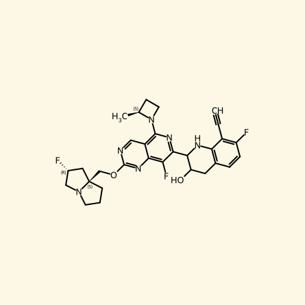 C#Cc1c(F)ccc2c1NC(c1nc(N3CC[C@@H]3C)c3cnc(OC[C@@]45CCCN4C[C@H](F)C5)nc3c1F)C(O)C2